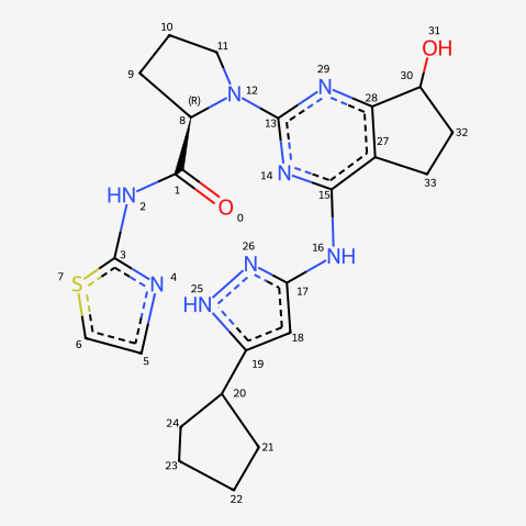 O=C(Nc1nccs1)[C@H]1CCCN1c1nc(Nc2cc(C3CCCC3)[nH]n2)c2c(n1)C(O)CC2